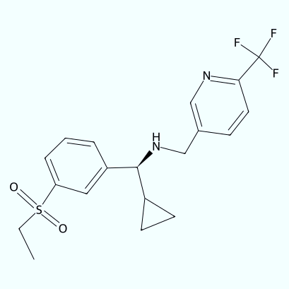 CCS(=O)(=O)c1cccc([C@@H](NCc2ccc(C(F)(F)F)nc2)C2CC2)c1